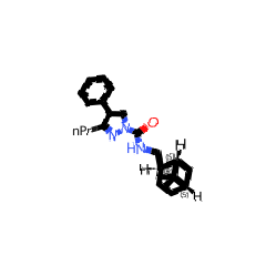 CCCC1=NN(C(=O)NC[C@@H]2CC[C@H]3C[C@@H]2C3(C)C)CC1c1ccccc1